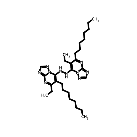 CCCCCCCCc1nc2ncnn2c(NNc2c(CCCCCCCC)c(CC)nc3ncnn23)c1CC